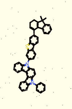 CC1(C)C2=C(C(c3ccc4c(c3)sc3cc(-n5c6ccccc6c6c7c8ccccc8n(-c8ccccc8)c7ccc65)ccc34)=CCC2)c2ccccc21